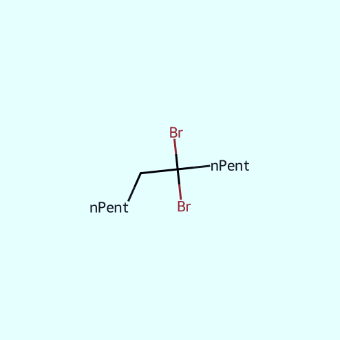 CCCCCCC(Br)(Br)CCCCC